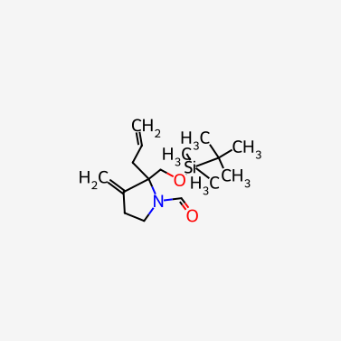 C=CCC1(CO[Si](C)(C)C(C)(C)C)C(=C)CCN1C=O